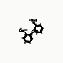 Cc1ccccc1.O=Cc1ccccc1P=O.[NaH]